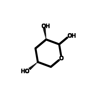 OC1OC[C@H](O)C[C@@H]1O